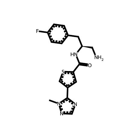 Cn1ncnc1-c1csc(C(=O)N[C@H](CN)Cc2ccc(F)cc2)c1